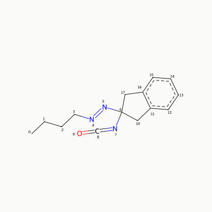 CCCC/N=N/C1(N=C=O)Cc2ccccc2C1